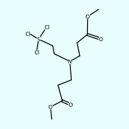 COC(=O)CCN(CCC(=O)OC)CCS(Cl)(Cl)Cl